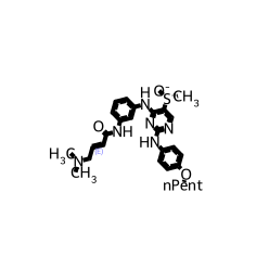 CCCCCOc1ccc(Nc2ncc([S+](C)[O-])c(Nc3cccc(NC(=O)/C=C/CN(C)C)c3)n2)cc1